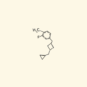 Cc1ccc(CC2CC(CC3CC3)C2)cc1F